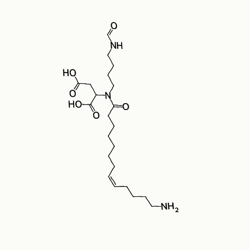 NCCCC/C=C\CCCCCCC(=O)N(CCCCNC=O)C(CC(=O)O)C(=O)O